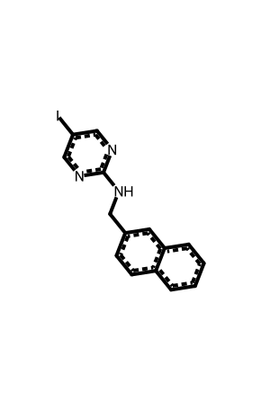 Ic1cnc(NCc2ccc3ccccc3c2)nc1